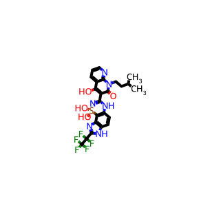 CC(C)CCn1c(=O)c(C2=NS(O)(O)c3c(ccc4[nH]c(C(F)(F)C(F)(F)F)nc34)N2)c(O)c2cccnc21